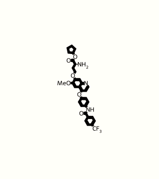 COc1cc2c(Oc3ccc(NC(=O)c4ccc(C(F)(F)F)cc4)cc3)ccnc2cc1OCC[C@@H](N)C(=O)OC1CCCC1